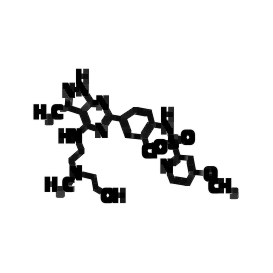 COc1ccnc(S(=O)(=O)Nc2ccc(-c3nc(NCCN(C)CCO)c4c(C)n[nH]c4n3)cc2Cl)c1